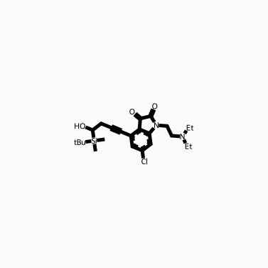 CCN(CC)CCN1C(=O)C(=O)c2c(C#CCC(O)[Si](C)(C)C(C)(C)C)cc(Cl)cc21